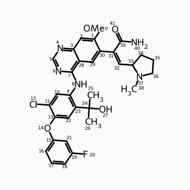 COc1cc2ncnc(Nc3cc(Cl)c(Oc4cccc(F)c4)cc3C(C)(C)O)c2cc1C(=CC1CCCN1C)C(N)=O